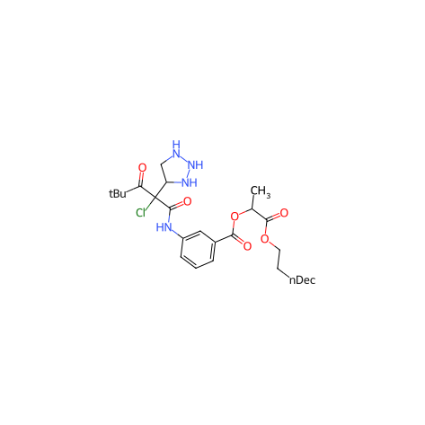 CCCCCCCCCCCCOC(=O)C(C)OC(=O)c1cccc(NC(=O)C(Cl)(C(=O)C(C)(C)C)C2CNNN2)c1